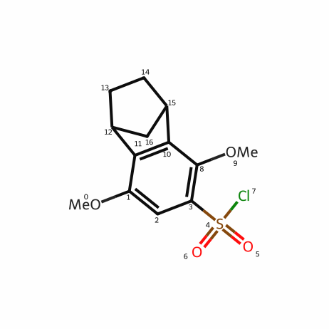 COc1cc(S(=O)(=O)Cl)c(OC)c2c1C1CCC2C1